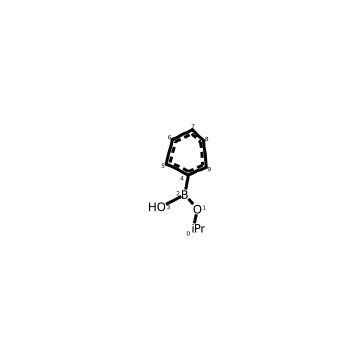 CC(C)OB(O)c1ccccc1